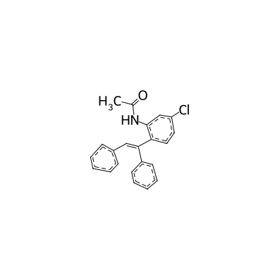 CC(=O)Nc1cc(Cl)ccc1/C(=C/c1ccccc1)c1ccccc1